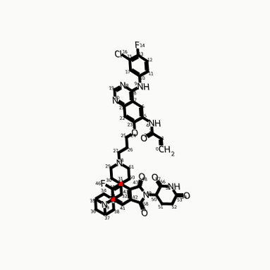 C=CC(=O)Nc1cc2c(Nc3ccc(F)c(Cl)c3)ncnc2cc1OCCCN1CCC(CN2CC3CC(C2)N3c2cc3c(cc2F)C(=O)N(C2CCC(=O)NC2=O)C3=O)CC1